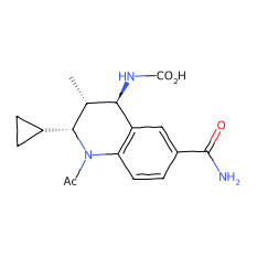 CC(=O)N1c2ccc(C(N)=O)cc2[C@H](NC(=O)O)[C@@H](C)[C@H]1C1CC1